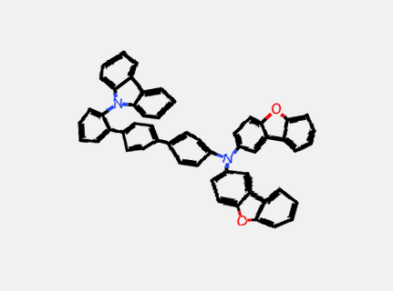 c1ccc(-n2c3ccccc3c3ccccc32)c(-c2ccc(-c3ccc(N(c4ccc5oc6ccccc6c5c4)c4ccc5oc6ccccc6c5c4)cc3)cc2)c1